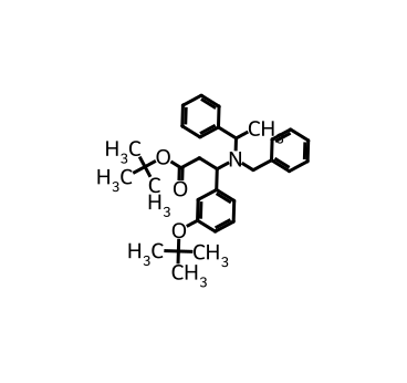 CC(c1ccccc1)N(Cc1ccccc1)C(CC(=O)OC(C)(C)C)c1cccc(OC(C)(C)C)c1